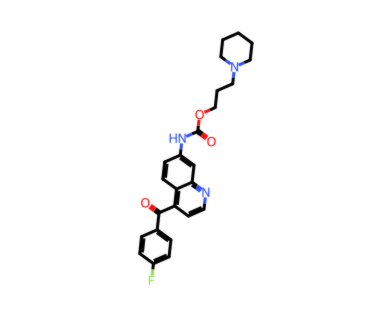 O=C(Nc1ccc2c(C(=O)c3ccc(F)cc3)ccnc2c1)OCCCN1CCCCC1